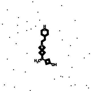 CN(C1CC2(C1)CN(CCC1CCNCC1)C2)[C@H]1C[C@H](O)C1